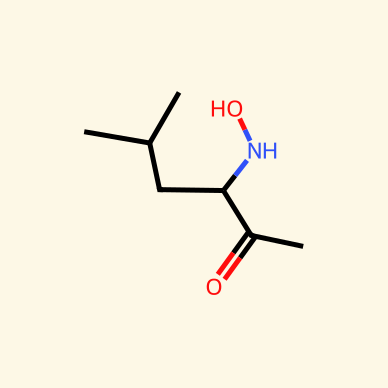 CC(=O)C(CC(C)C)NO